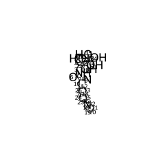 C/C=C(/CNC(=O)/C(C#N)=C/c1ccc2cc(N3CCCCC3)ccc2c1)[C@@H](O)[C@H](O)[C@@H](O)C(O)O